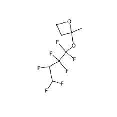 CC1(OC(F)(F)C(F)(F)C(F)C(F)F)CCO1